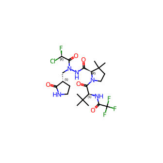 CC(C)(C)[C@H](NC(=O)C(F)(F)F)C(=O)N1CCC(C)(C)[C@@H]1C(=O)NN(C[C@@H]1CCNC1=O)C(=O)[C@H](F)Cl